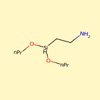 CCCO[SiH](CCN)OCCC